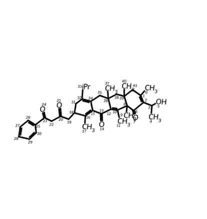 CC1=C(C(C)O)C(=O)C2(C)C(C)=C3C(=O)C4=C(C)C(CC(=O)CC(=O)c5ccccc5)CC(C(C)C)=C4CC3(C)CC2(C)C1